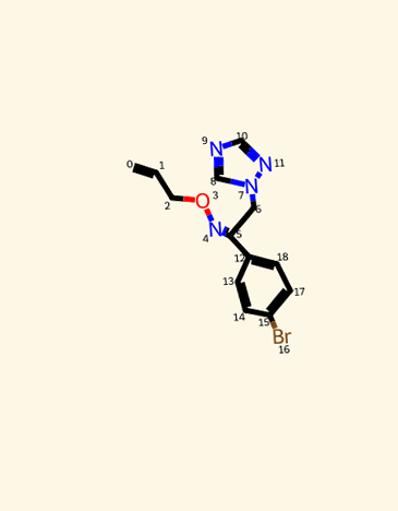 C=CCON=C(Cn1cncn1)c1ccc(Br)cc1